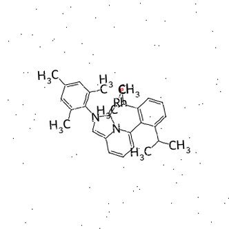 Cc1cc(C)c(-n2cc3cccc(-c4c(C(C)C)cccc4C(C)C)n3[c]2=[Rh][Cl])c(C)c1